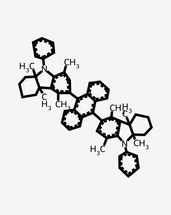 Cc1cc(-c2c3ccccc3c(-c3cc(C)c4c(c3C)C3(C)CCCCC3(C)N4c3ccccc3)c3ccccc23)c(C)c2c1N(c1ccccc1)C1(C)CCCCC21C